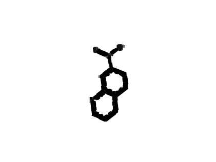 O=[N+]([O-])c1[c]c2ncccc2cc1